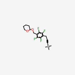 C[Si](C)(C)C#CCc1c(F)c(F)c(COC2CCCCO2)c(F)c1F